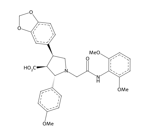 COc1ccc([C@@H]2[C@@H](C(=O)O)[C@@H](c3ccc4c(c3)OCO4)CN2CC(=O)Nc2c(OC)cccc2OC)cc1